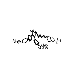 COc1ccc(-c2ncn(CCCCCCCC(=O)O)c2-c2ccc(OC)cc2)cc1